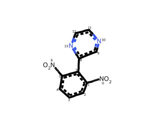 O=[N+]([O-])c1cccc([N+](=O)[O-])c1-c1cnccn1